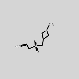 C=CCS(=O)(=O)CC1CN(C)C1